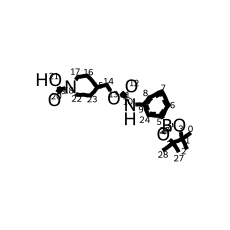 CC1(C)OB(c2cccc(NC(=O)OCC3CCN(C(=O)O)CC3)c2)OC1(C)C